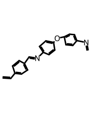 C=Cc1ccc(C=Nc2ccc(Oc3ccc(N=C)cc3)cc2)cc1